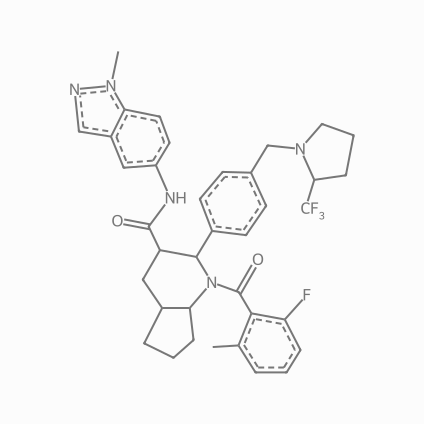 Cc1cccc(F)c1C(=O)N1C2CCCC2CC(C(=O)Nc2ccc3c(cnn3C)c2)C1c1ccc(CN2CCCC2C(F)(F)F)cc1